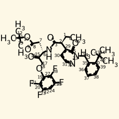 CC[C@H](C(=O)N[C@@H](CC(=O)OC(C)(C)C)C(=O)COc1c(F)c(F)cc(F)c1F)c1ccnn(Cc2ccccc2C(C)(C)C)c1=O